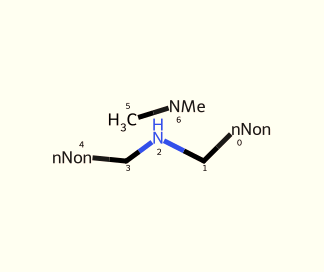 CCCCCCCCCCNCCCCCCCCCC.CNC